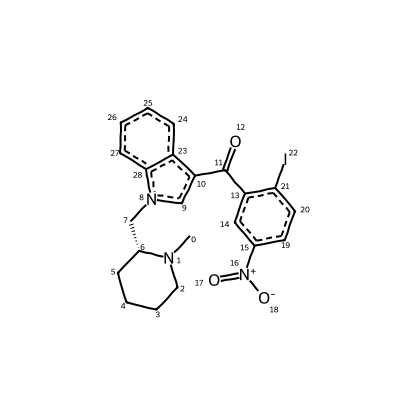 CN1CCCC[C@@H]1Cn1cc(C(=O)c2cc([N+](=O)[O-])ccc2I)c2ccccc21